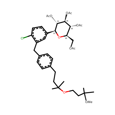 COC(C)(C)CCOC(C)(C)CCc1ccc(Cc2cc([C@@H]3O[C@H](COC(C)=O)[C@@H](OC(C)=O)[C@H](OC(C)=O)[C@H]3OC(C)=O)ccc2Cl)cc1